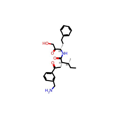 CC[C@@H](C)[C@H](CC(=O)c1cccc(CN)c1)C(=O)N[C@@H](CCc1ccccc1)C(=O)CO